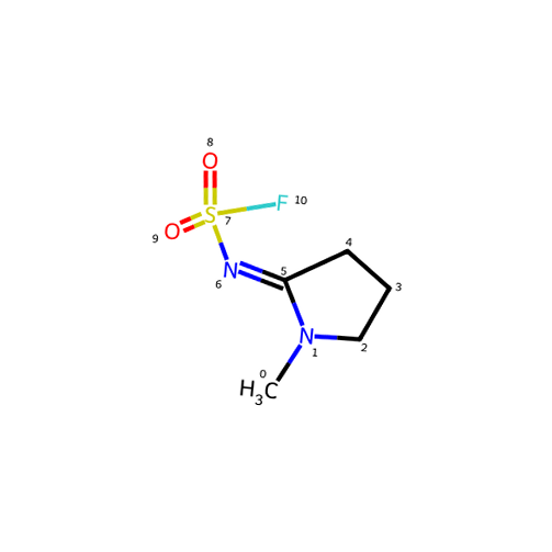 CN1CCCC1=NS(=O)(=O)F